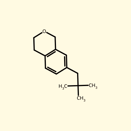 CC(C)(C)Cc1ccc2c(c1)COCC2